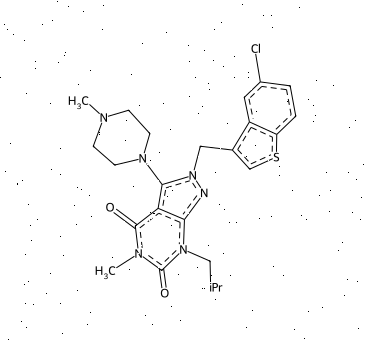 CC(C)Cn1c(=O)n(C)c(=O)c2c(N3CCN(C)CC3)n(Cc3csc4ccc(Cl)cc34)nc21